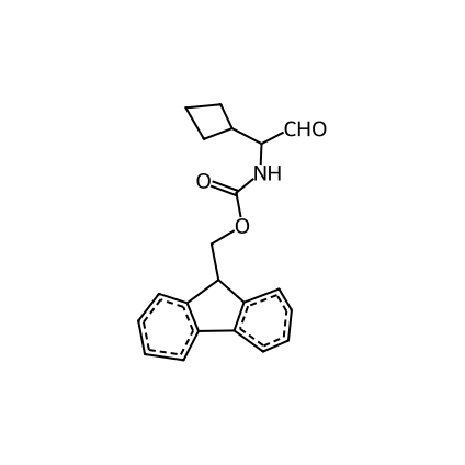 O=CC(NC(=O)OCC1c2ccccc2-c2ccccc21)C1CCC1